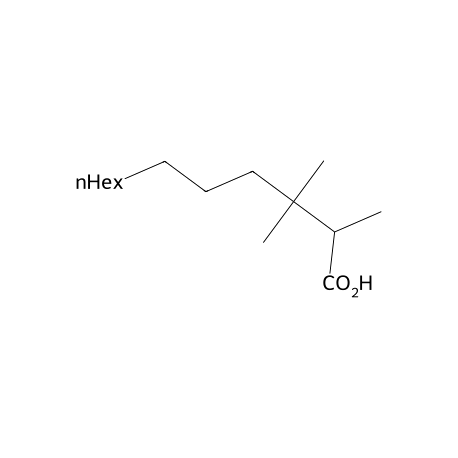 CCCCCCCCCC(C)(C)C(C)C(=O)O